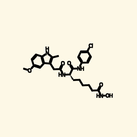 COc1ccc2[nH]c(C)c(CC(=O)N[C@@H](CCCCCC(=O)NO)C(=O)Nc3ccc(Cl)cc3)c2c1